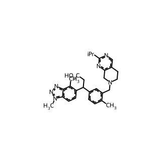 Cc1ccc(C(CC(=O)O)c2ccc3c(nnn3C)c2C)cc1CN1CCc2cnc(C(C)C)nc2C1